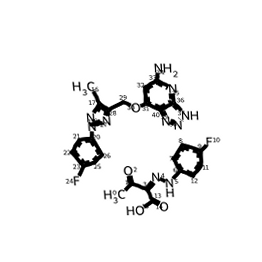 CC(=O)C(=NNc1ccc(F)cc1)C(=O)O.Cc1nn(-c2ccc(F)cc2)nc1COc1cc(N)nc2[nH]nnc12